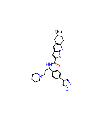 CC(C)(C)[C@H]1CCc2nc3sc(C(=O)N[C@H](CCN4CCCCC4)c4ccc(-c5cn[nH]c5)cc4)cc3cc2C1